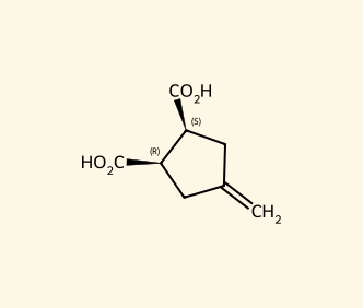 C=C1C[C@H](C(=O)O)[C@H](C(=O)O)C1